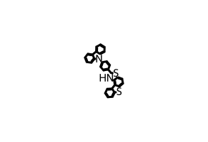 c1ccc2c(c1)sc1ccc3c(c12)NC(c1ccc(-n2c4ccccc4c4ccccc42)cc1)S3